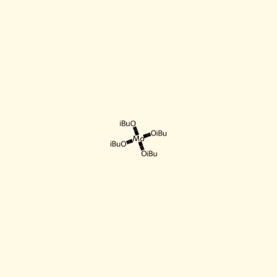 CC(C)C[O][Mo]([O]CC(C)C)([O]CC(C)C)[O]CC(C)C